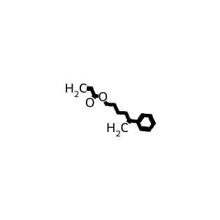 C=CC(=O)OCCCCC(=C)c1ccccc1